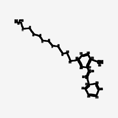 CCCCCCCCCCCCc1ccc(O)c(N=Nc2ccccc2)c1